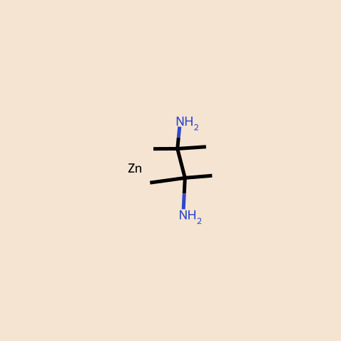 CC(C)(N)C(C)(C)N.[Zn]